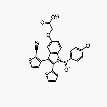 N#Cc1sccc1-c1c(-c2cccs2)n([S+]([O-])c2ccc(Cl)cc2)c2ccc(OCC(=O)O)cc12